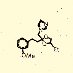 CCC1COC(CCc2cccc(OC)c2)(Cn2ccnc2)O1